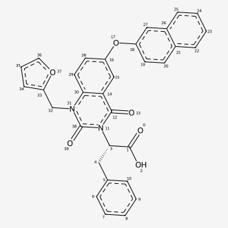 O=C(O)[C@H](Cc1ccccc1)n1c(=O)c2cc(Oc3ccc4ccccc4c3)ccc2n(Cc2ccco2)c1=O